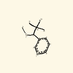 COC(c1cccnc1)C(C)(C)F